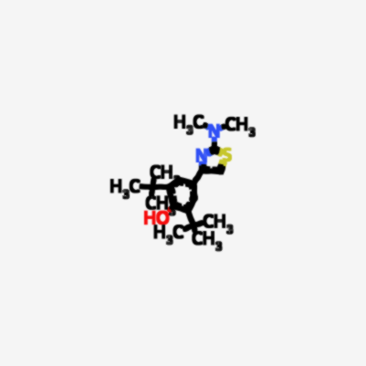 CN(C)c1nc(-c2cc(C(C)(C)C)c(O)c(C(C)(C)C)c2)cs1